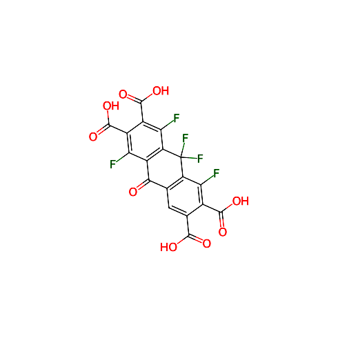 O=C(O)c1cc2c(c(F)c1C(=O)O)C(F)(F)c1c(F)c(C(=O)O)c(C(=O)O)c(F)c1C2=O